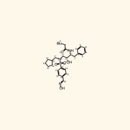 CCC(C)CC(=O)N[C@@H](Cc1ccccc1)[C@H](O)CN(CC1CCCC1)S(=O)(=O)c1ccc(/C=N/O)cc1